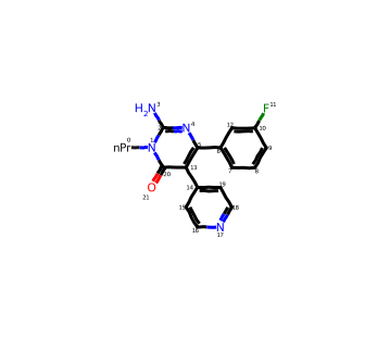 CCCn1c(N)nc(-c2cccc(F)c2)c(-c2ccncc2)c1=O